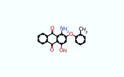 Cc1ccccc1Oc1cc(O)c2c(c1N)C(=O)c1ccccc1C2=O